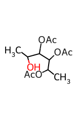 CC(=O)OC(C)C(OC(C)=O)C(OC(C)=O)C(C)O